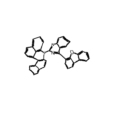 c1ccc2c3c(ccc2c1)N(c1nc(-c2cccc4c2oc2ccccc24)c2ccccc2n1)c1cccc2cccc-3c12